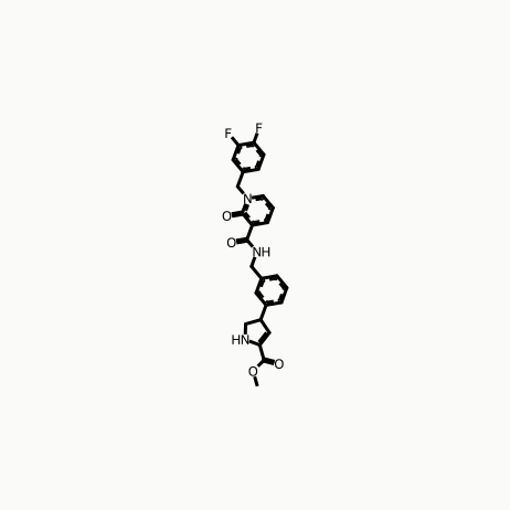 COC(=O)C1=CC(c2cccc(CNC(=O)c3cccn(Cc4ccc(F)c(F)c4)c3=O)c2)CN1